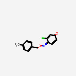 O=C1C=CC(=NOCc2ccc(C(F)(F)F)cc2)C(Cl)=C1